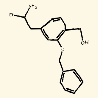 CCC(N)Cc1ccc(CO)c(OCc2ccccc2)c1